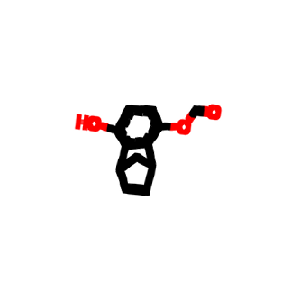 O=COc1ccc(O)c2c1C1C=CC2C1